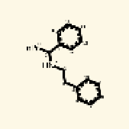 CC[CH]C(NCCc1ccccc1)c1ccccc1